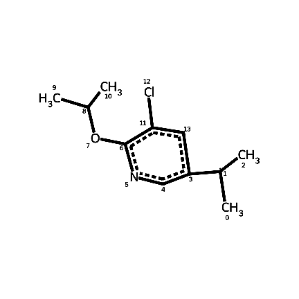 C[C](C)c1cnc(OC(C)C)c(Cl)c1